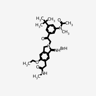 Br.CCOc1cc2c(cc1CC(=O)NC)C(=N)N(CC(=O)c1cc(N(C)C(C)=O)cc(C(C)(C)C)c1)C2